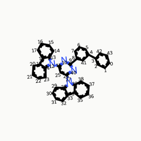 c1ccc(-c2cccc(-c3nc(-n4c5ccccc5c5ccccc54)cc(-n4c5ccccc5c5ccccc54)n3)c2)cc1